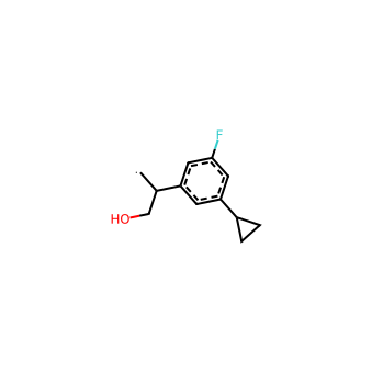 [CH2]C(CO)c1cc(F)cc(C2CC2)c1